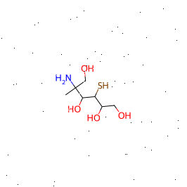 CC(N)(CO)C(O)C(S)C(O)CO